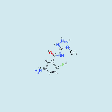 Cn1nnnc1NC(=O)c1cc(N)ccc1F